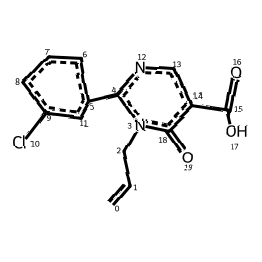 C=CCn1c(-c2cccc(Cl)c2)ncc(C(=O)O)c1=O